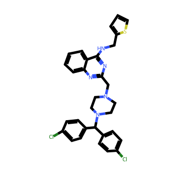 Clc1ccc(C(c2ccc(Cl)cc2)N2CCN(Cc3nc(NCc4cccs4)c4ccccc4n3)CC2)cc1